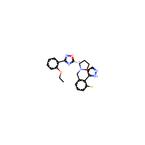 CCOc1ccccc1-c1noc([C@@H]2CCCN2Cc2cccc(F)c2-c2ccn[nH]2)n1